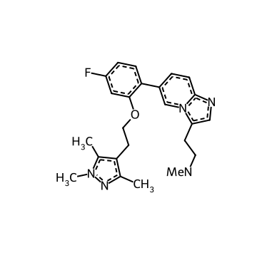 CNCCc1cnc2ccc(-c3ccc(F)cc3OCCc3c(C)nn(C)c3C)cn12